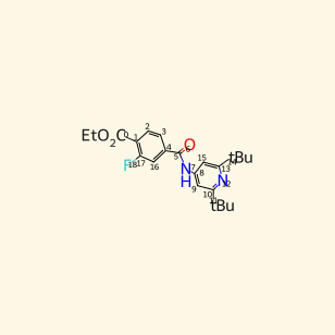 CCOC(=O)c1ccc(C(=O)Nc2cc(C(C)(C)C)nc(C(C)(C)C)c2)cc1F